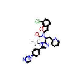 Cn1c(-c2ccc(-n3ccnc3)cc2)cnc1C(Cc1ccccn1)N(C=O)c1cc2cccc(Cl)c2o1